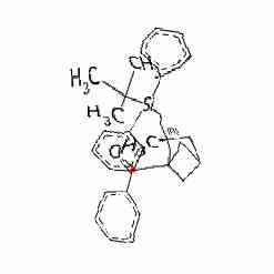 CC(C)(C)[Si](C[C@]1(C)CC2CC1(C(=O)c1ccccc1)C2)(c1ccccc1)c1ccccc1